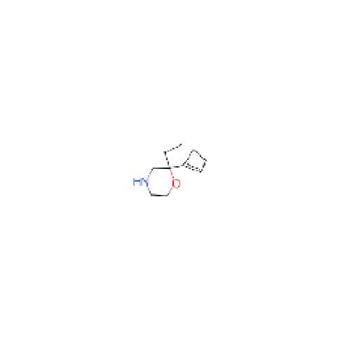 CCC1(C2=CCC2)CNCCO1